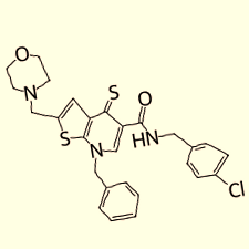 O=C(NCc1ccc(Cl)cc1)c1cn(Cc2ccccc2)c2sc(CN3CCOCC3)cc2c1=S